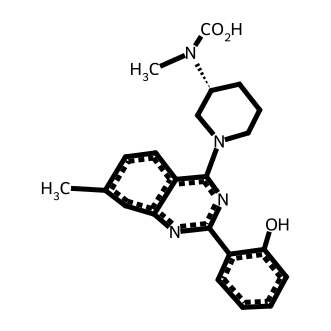 Cc1ccc2c(N3CCC[C@@H](N(C)C(=O)O)C3)nc(-c3ccccc3O)nc2c1